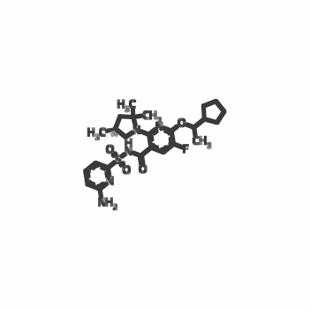 CC(Oc1nc(N2C[C@@H](C)CC2(C)C)c(C(=O)NS(=O)(=O)c2cccc(N)n2)cc1F)C1CCCC1